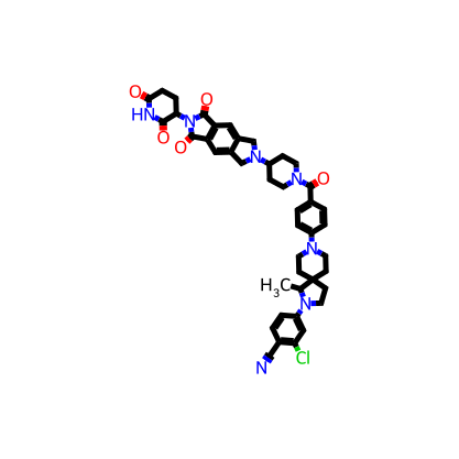 CC1N(c2ccc(C#N)c(Cl)c2)CCC12CCN(c1ccc(C(=O)N3CCC(N4Cc5cc6c(cc5C4)C(=O)N(C4CCC(=O)NC4=O)C6=O)CC3)cc1)CC2